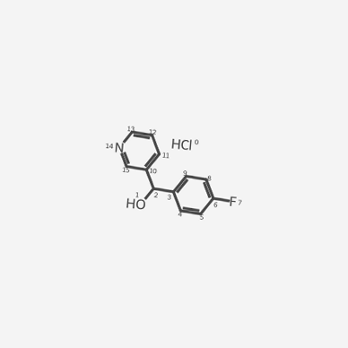 Cl.OC(c1ccc(F)cc1)c1cccnc1